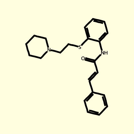 O=C(C=Cc1ccccc1)Nc1ccccc1SCCN1CCCCC1